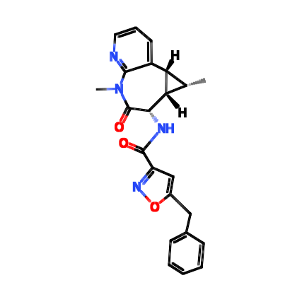 C[C@H]1[C@H]2c3cccnc3N(C)C(=O)[C@@H](NC(=O)c3cc(Cc4ccccc4)on3)[C@@H]12